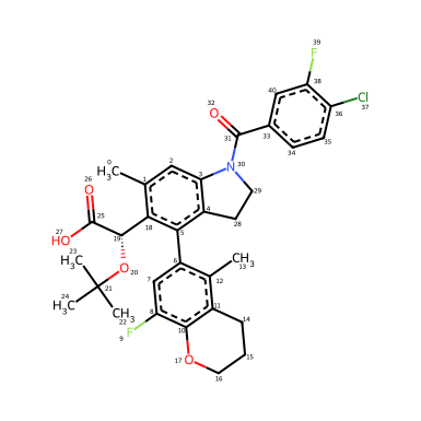 Cc1cc2c(c(-c3cc(F)c4c(c3C)CCCO4)c1[C@H](OC(C)(C)C)C(=O)O)CCN2C(=O)c1ccc(Cl)c(F)c1